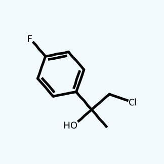 CC(O)(CCl)c1ccc(F)cc1